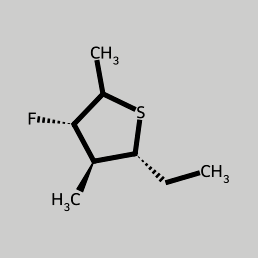 CC[C@H]1SC(C)[C@@H](F)[C@@H]1C